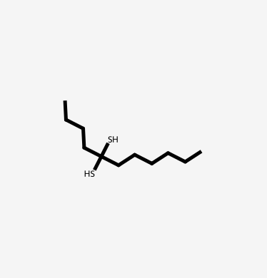 CCCCCCC(S)(S)CCCC